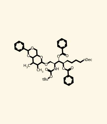 CCCCCCCCCCCCCC[C@@H](OC(=O)c1ccccc1)[C@@H](OC(=O)c1ccccc1)[C@H](COC1OC2COC(c3ccccc3)OC2C(C)C1C)NC(=O)OC(C)(C)C